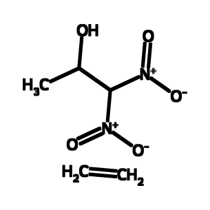 C=C.CC(O)C([N+](=O)[O-])[N+](=O)[O-]